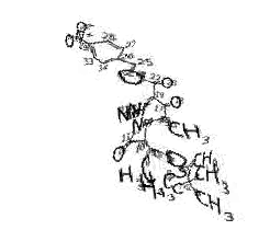 C[C@@H](O[Si](C)(C)C(C)(C)C)[C@H]1C(=O)N[C@@H]1[C@@H](C)C(=O)C(=[N+]=[N-])C(=O)OCc1ccc([N+](=O)[O-])cc1